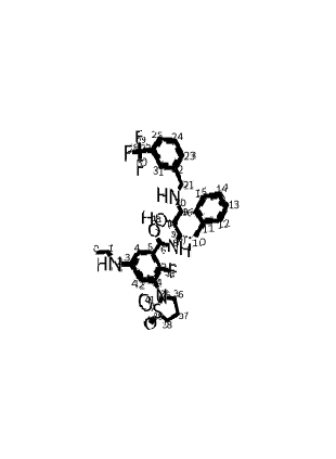 CCNc1cc(C(=O)N[C@@H](Cc2ccccc2)[C@H](O)CNCc2cccc(C(F)(F)F)c2)c(F)c(N2CCCS2(=O)=O)c1